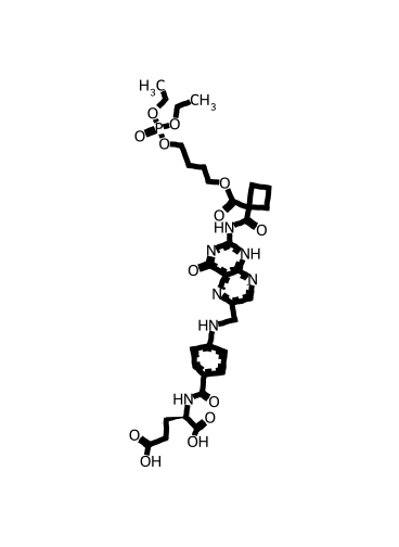 CCOP(=O)(OCC)OCCCCOC(=O)C1(C(=O)Nc2nc(=O)c3nc(CNc4ccc(C(=O)N[C@H](CCC(=O)O)C(=O)O)cc4)cnc3[nH]2)CCC1